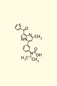 Cc1cc(-c2cccc(N(C(=O)O)C(C)C)c2)n2ncc(C(=O)c3cccs3)c2n1